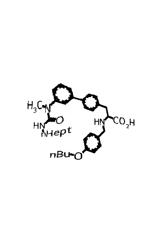 CCCCCCCNC(=O)N(C)c1cccc(-c2ccc(CC(NCc3ccc(OCCCC)cc3)C(=O)O)cc2)c1